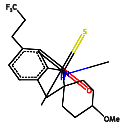 COC1CCC2(CC1)Cc1ccc(CCC(F)(F)F)cc1C21NC(=S)N(C)C1=O